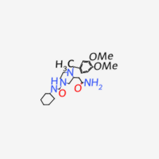 COc1ccc(C(C)N2CCN(C(=O)NC3CCCCC3)CC2CC(N)=O)cc1OC